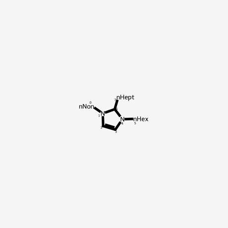 CCCCCCCCCN1C=CN(CCCCCC)C1CCCCCCC